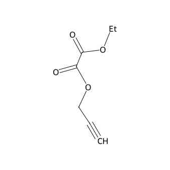 C#CCOC(=O)C(=O)OCC